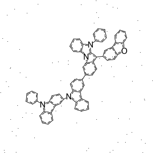 c1ccc(-n2c3ccccc3c3cc(-n4c5ccccc5c5cc(-c6ccc7c(-c8ccc9oc%10ccccc%10c9c8)c8n(-c9ccccc9)c9ccccc9n8c7c6)ccc54)ccc32)cc1